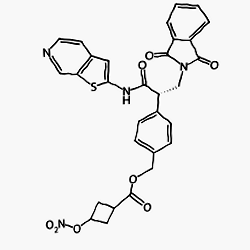 O=C(OCc1ccc([C@@H](CN2C(=O)c3ccccc3C2=O)C(=O)Nc2cc3ccncc3s2)cc1)C1CC(O[N+](=O)[O-])C1